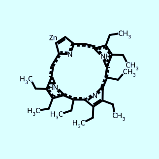 CCC1=C(CC)c2nc1c(CC)c1[nH]c(cc3nc(cc4[nH]c(c2CC)c(CC)c4CC)C=C3)c(CC)c1CC.[Zn]